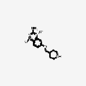 Nc1n[n+]([O-])c2ccc(OCC3CCNCC3)cc2[n+]1[O-]